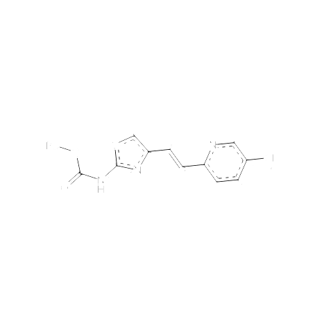 CC(C)(C)OC(=O)Nc1nc(C=Cc2ccc(C(F)(F)F)cn2)cs1